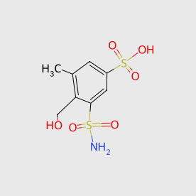 Cc1cc(S(=O)(=O)O)cc(S(N)(=O)=O)c1CO